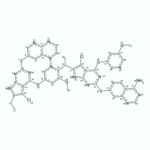 CCc1[nH]c2nc(Sc3cnc4nccnc4c3)nc(Oc3cnc(C(C)c4[nH]c5nc(Sc6ccc7c(N)ncnc7c6)nc(Oc6cncc(OC)c6)c5c4Cl)c(OC)c3)c2c1Cl